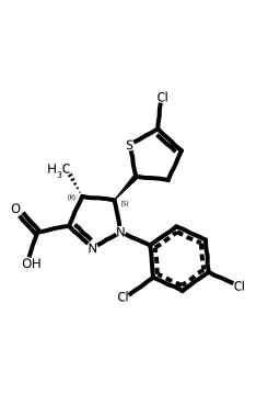 C[C@H]1C(C(=O)O)=NN(c2ccc(Cl)cc2Cl)[C@@H]1C1CC=C(Cl)S1